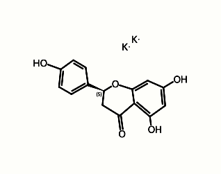 O=C1C[C@@H](c2ccc(O)cc2)Oc2cc(O)cc(O)c21.[K].[K]